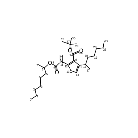 CCCCCCC(C)OC(=O)Nc1scc(C(C)CCCCC)c1C(=O)OC(C)(C)C